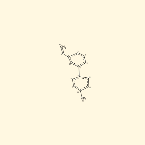 C=Cc1cccc(-c2ccc(CCC)cc2)c1